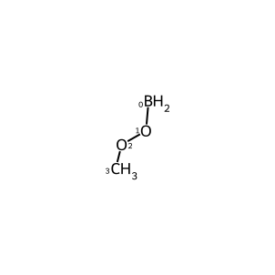 BOOC